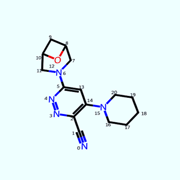 N#Cc1nnc(N2CC3CC(C2)O3)cc1N1CCCCC1